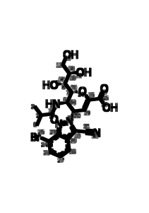 CC(C)C(=O)N[C@H]1[C@H]([C@H](O)[C@H](O)CO)OC(C(=O)O)=C[C@@H]1n1nc2c(Br)cccc2c1C#N